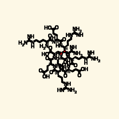 N=C(N)NCCC[C@H](NC(=O)[C@H](CCC(=O)O)NC(=O)[C@H](CCCNC(=N)N)NC(=O)[C@H](CCC(=O)O)NC(=O)[C@H](CCCNC(=N)N)NC(=O)[C@H](CCC(=O)O)NC(=O)[C@H](CCCNC(=N)N)NC(=O)[C@H](CCC(=O)O)NC(=O)[C@@H](N)CCCNC(=N)N)C(=O)O